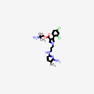 CC(C)(N)COC(=O)c1cn(CCCNc2ccc([N+](=O)[O-])c(N)n2)cc1-c1ccc(Cl)cc1Cl